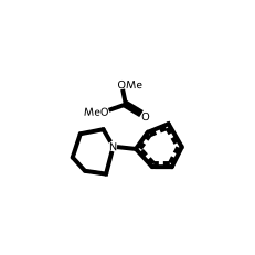 COC(=O)OC.c1ccc(N2CCCCC2)cc1